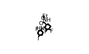 CCONC(=O)c1ccc(F)c(F)c1Nc1ccc(I)cc1F